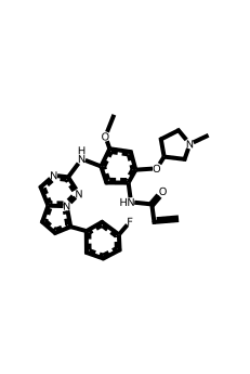 C=CC(=O)Nc1cc(Nc2ncc3ccc(-c4cccc(F)c4)n3n2)c(OC)cc1OC1CCN(C)C1